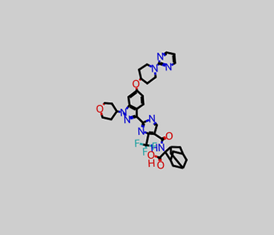 O=C(NC1(C(=O)O)C2CC3CC(C2)CC1C3)c1cnc(-c2nn(C3CCOCC3)c3cc(OC4CCN(c5ncccn5)CC4)ccc23)nc1C(F)(F)F